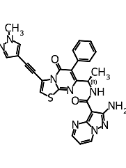 C[C@@H](NC(=O)c1c(N)nn2cccnc12)c1nc2scc(C#Cc3cnn(C)c3)n2c(=O)c1-c1ccccc1